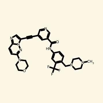 CN1CCN(Cc2ccc(NC(=O)c3cncc(C#Cc4cnc5ccc(N6CCOCC6)nn45)c3)cc2C(F)(F)F)CC1